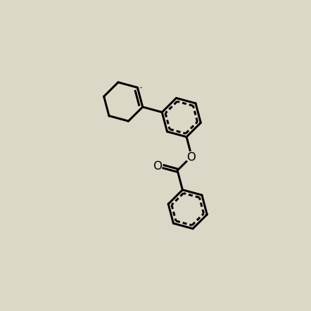 O=C(Oc1cccc(C2=[C]CCCC2)c1)c1ccccc1